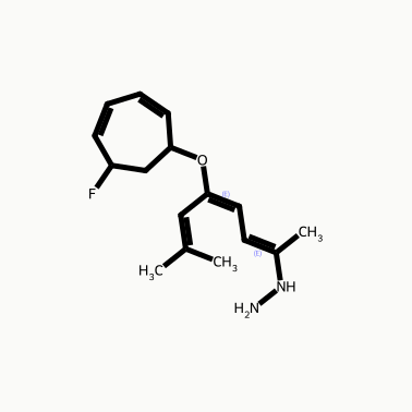 CC(C)=C/C(=C\C=C(/C)NN)OC1C=CC=CC(F)C1